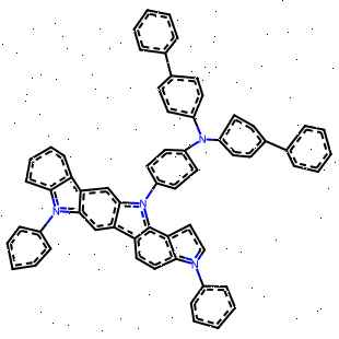 c1ccc(-c2ccc(N(c3ccc(-c4ccccc4)cc3)c3ccc(-n4c5cc6c7ccccc7n(-c7ccccc7)c6cc5c5ccc6c(ccn6-c6ccccc6)c54)cc3)cc2)cc1